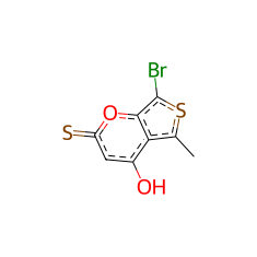 Cc1sc(Br)c2oc(=S)cc(O)c12